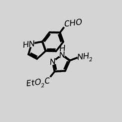 CCOC(=O)c1cc(N)[nH]n1.O=Cc1ccc2cc[nH]c2c1